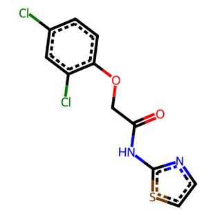 O=C(COc1ccc(Cl)cc1Cl)Nc1nccs1